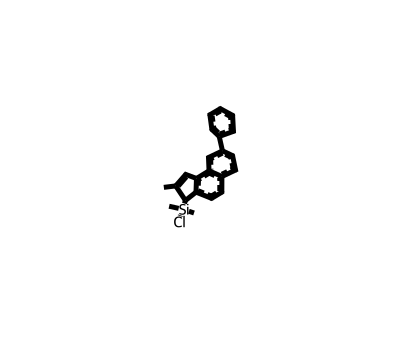 CC1=Cc2c(ccc3ccc(-c4ccccc4)cc23)C1[Si](C)(C)Cl